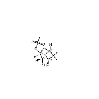 CC[C@@H]1[C@@H](OS(C)(=O)=O)C[C@H]2C[C@@H]1C2(C)C